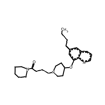 CCCCc1cc(OC2CCN(CCCC(=O)N3CCCCC3)CC2)c2ncccc2c1